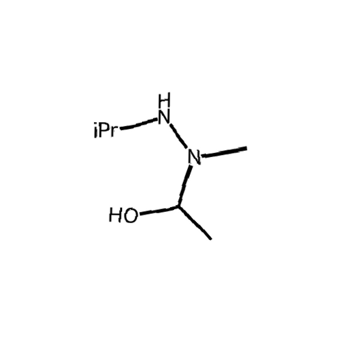 CC(C)NN(C)C(C)O